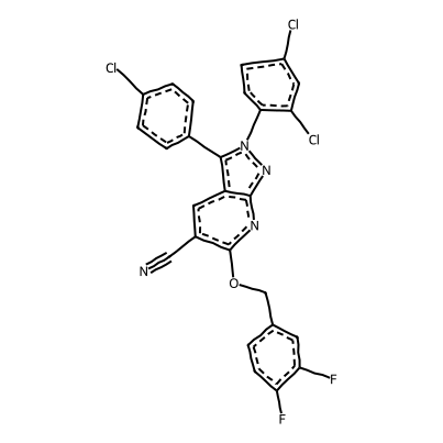 N#Cc1cc2c(-c3ccc(Cl)cc3)n(-c3ccc(Cl)cc3Cl)nc2nc1OCc1ccc(F)c(F)c1